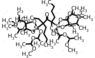 CCCCC(CC)(C(=O)C(CC)(CCCC)[Si](OC(C)OC(C)OC)(OC(C)OC(C)OC)OC(C)OC(C)OC)[Si](OC(C)OC(C)OC)(OC(C)OC(C)OC)OC(C)OC(C)OC